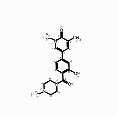 Cc1cc(-c2ccc(C(=O)N3CCN(C)CC3)c(O)c2)cn(C)c1=O